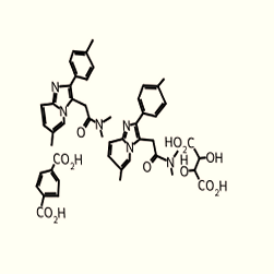 Cc1ccc(-c2nc3ccc(C)cn3c2CC(=O)N(C)C)cc1.Cc1ccc(-c2nc3ccc(C)cn3c2CC(=O)N(C)C)cc1.O=C(O)C(O)C(O)C(=O)O.O=C(O)c1ccc(C(=O)O)cc1